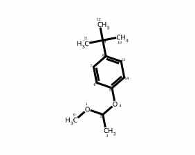 COC(C)Oc1ccc(C(C)(C)C)cc1